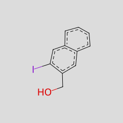 OCc1cc2ccccc2cc1I